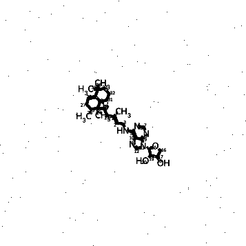 C/C(=C\CNc1ncnc2c1ncn2[C@@H]1OCC(O)C1O)CCC1(C)[C@H](C)CC=C2[C@H]1CCCC2(C)C